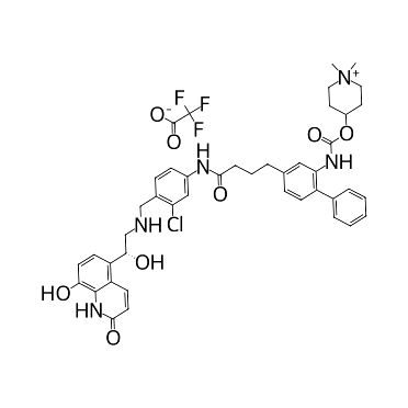 C[N+]1(C)CCC(OC(=O)Nc2cc(CCCC(=O)Nc3ccc(CNC[C@H](O)c4ccc(O)c5[nH]c(=O)ccc45)c(Cl)c3)ccc2-c2ccccc2)CC1.O=C([O-])C(F)(F)F